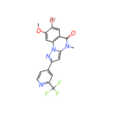 COc1cc2c(cc1Br)c(=O)n(C)c1cc(-c3ccnc(C(F)(F)F)c3)nn21